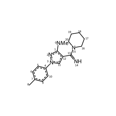 CNc1nn(-c2ccc(C)cc2)cc1C(=N)N1CCCCC1